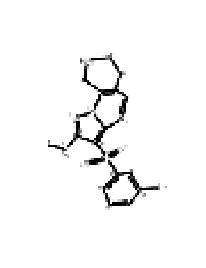 CNc1nn2c3c(cnc2c1S(=O)(=O)c1cccc(F)c1)CCNC3